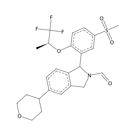 C[C@H](Oc1ccc(S(C)(=O)=O)cc1C1c2ccc(C3CCOCC3)cc2CN1C=O)C(F)(F)F